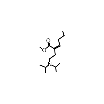 CCCC=C(CCN(C(C)C)C(C)C)C(=O)OC